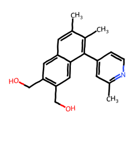 Cc1cc(-c2c(C)c(C)cc3cc(CO)c(CO)cc23)ccn1